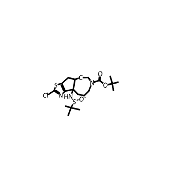 CC(C)(C)OC(=O)N1CCCC2(N[S+]([O-])C(C)(C)C)c3nc(Cl)sc3CC2CC1